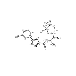 C[C@H](NC(=O)c1noc(-c2cccc(F)c2)n1)C(=O)N1CCC2(CC2)C(F)(F)C1